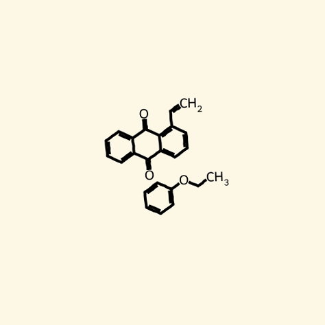 C=Cc1cccc2c1C(=O)c1ccccc1C2=O.CCOc1ccccc1